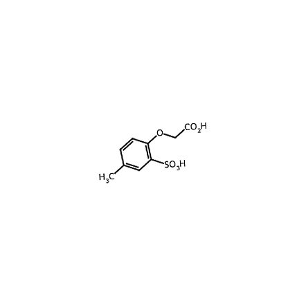 Cc1ccc(OCC(=O)O)c(S(=O)(=O)O)c1